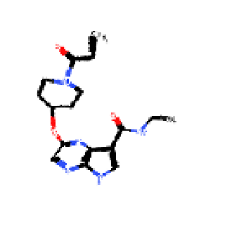 C=CC(=O)N1CCC(Oc2cnc3[nH]cc(C(=O)NCC(C)(C)C)c3n2)CC1